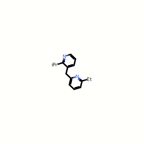 CCc1cccc(Cc2cccnc2C(C)C)n1